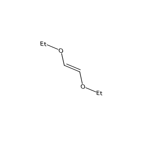 CCOC=COCC